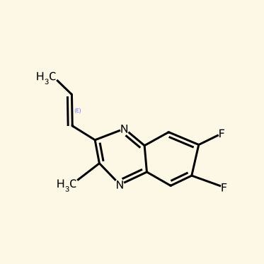 C/C=C/c1nc2cc(F)c(F)cc2nc1C